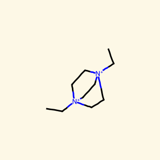 CC[N+]12CC[N+](CC)(CC1)CC2